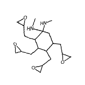 CNC1(NC)CC(CC2CO2)C(CC2CO2)C(CC2CO2)C1CC1CO1